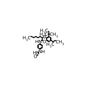 CCCCCCC(Oc1ccc(C(C)CC)cc1C(C)(C)CC)C(=O)Nc1ccc(NNC=O)cc1